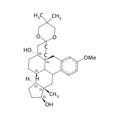 COc1ccc2c(c1)C[C@]13CCC4(C[C@]1(O)CC[C@@H]1C3C2C[C@]2(C)[C@@H](O)CC[C@@H]12)OCC(C)(C)CO4